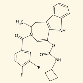 CC1Cc2c([nH]c3ccccc23)C(OC(=O)NC2CCC2)=CN1C(=O)c1ccc(F)c(F)c1